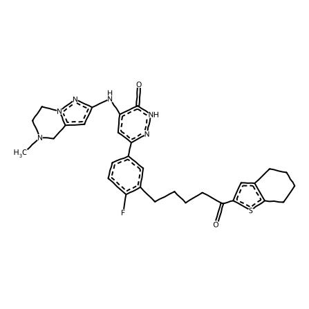 CN1CCn2nc(Nc3cc(-c4ccc(F)c(CCCCC(=O)c5cc6c(s5)CCCC6)c4)n[nH]c3=O)cc2C1